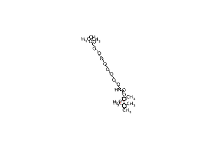 Cc1cc(C)c(-c2cc(C)c(OCC(=O)NCCOCCOCCOCCOCCOCCOCCOCCOCCC(=O)OC(C)(C)C)cc2C)c(C)c1